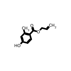 C=CCOC(=O)c1ccc(O)cc1C